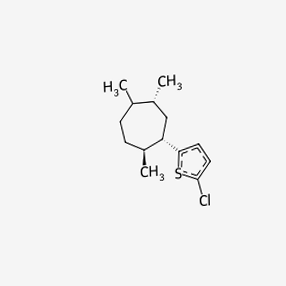 CC1CC[C@H](C)[C@@H](c2ccc(Cl)s2)C[C@H]1C